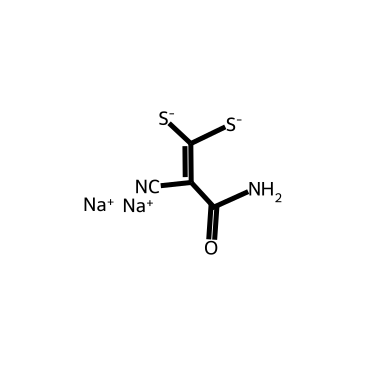 N#CC(C(N)=O)=C([S-])[S-].[Na+].[Na+]